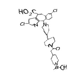 CB(O)N1CCC(CC(=O)N2CCC(C3CCN(C4c5ccc(Cl)cc5C=C(C(=O)O)c5cc(Cl)cnc54)CC3)CC2)CC1